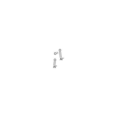 [O-2].[O]=[Al+].[O]=[Al+]